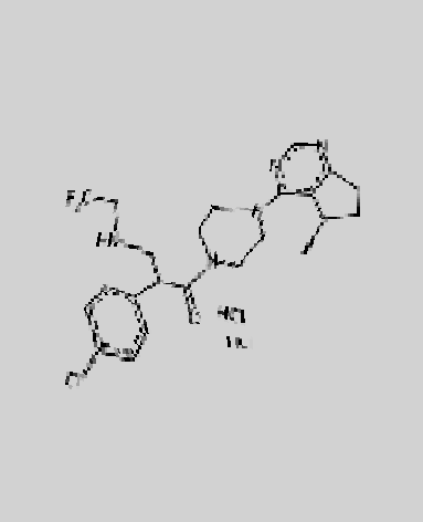 C[C@@H]1CCc2ncnc(N3CCN(C(=O)C(CNCC(F)(F)F)c4ccc(Cl)cc4)CC3)c21.Cl.Cl